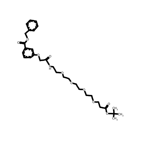 CC(C)(C)OC(=O)CCOCCOCCOCCOCCNC(=O)COc1cccc(C(=O)OCc2ccccc2)c1